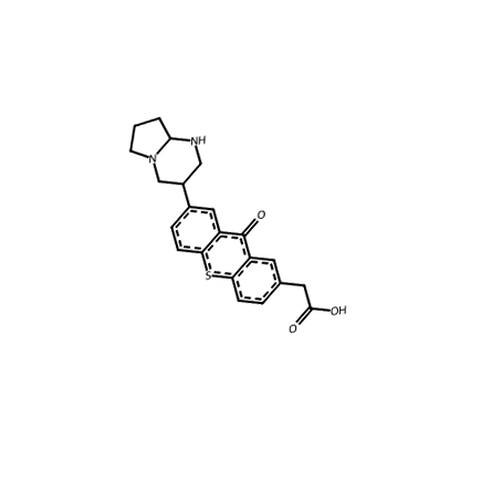 O=C(O)Cc1ccc2sc3ccc(C4CNC5CCCN5C4)cc3c(=O)c2c1